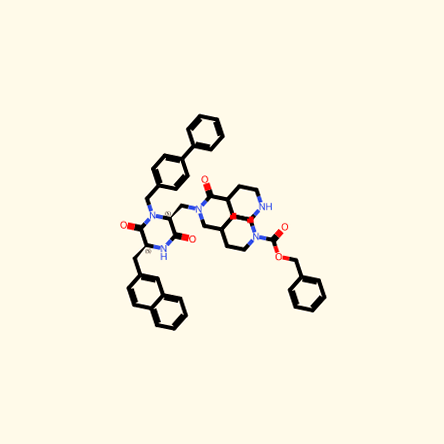 O=C1N[C@@H](Cc2ccc3ccccc3c2)C(=O)N(Cc2ccc(-c3ccccc3)cc2)[C@H]1CN(CC1CCN(C(=O)OCc2ccccc2)CC1)C(=O)C1CCNCC1